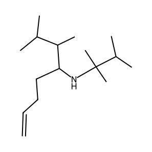 C=CCCC(NC(C)(C)C(C)C)C(C)C(C)C